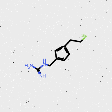 N=C(N)NCc1ccc(CC[18F])cc1